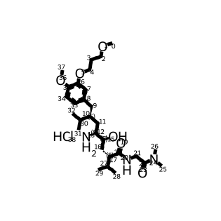 COCCCOc1cc(C[C@@H](C[C@H](N)[C@@H](O)C[C@H](C(=O)NCC(=O)N(C)C)C(C)C)C(C)C)ccc1OC.Cl